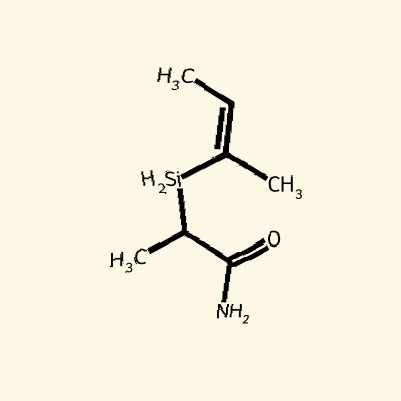 CC=C(C)[SiH2]C(C)C(N)=O